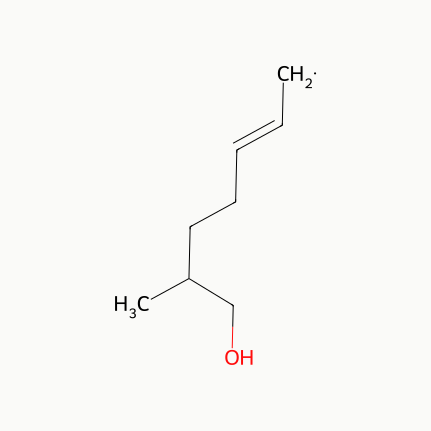 [CH2]C=CCCC(C)CO